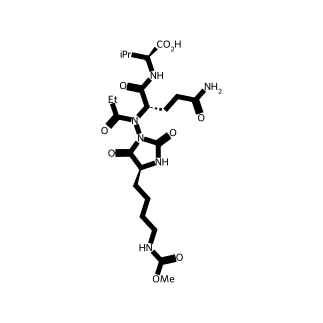 CCC(=O)N([C@@H](CCC(N)=O)C(=O)N[C@H](C(=O)O)C(C)C)N1C(=O)N[C@@H](CCCCNC(=O)OC)C1=O